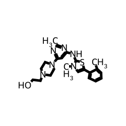 Cc1nc(NC2SC(c3ccccc3C)=CN2C)cc(N2CCN(CCO)CC2)n1